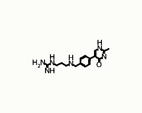 Cc1nc(=O)c(-c2ccc(CNCCCNC(=N)N)cc2)c[nH]1